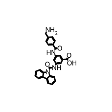 NCc1ccc(C(=O)Nc2cc(NC(=O)n3c4ccccc4c4ccccc43)cc(C(=O)O)c2)cc1